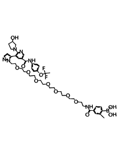 Cc1cc(C(=O)NCCOCCOCCOCCOCCOCCOCCOCCn2nccc2-c2cc(C(=O)Nc3ccc(OC(C)(F)F)cc3)cnc2N2CC[C@@H](O)C2)ccc1B(O)O